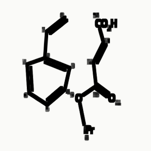 C=Cc1ccccc1.CC(C)OC(=O)C=CC(=O)O